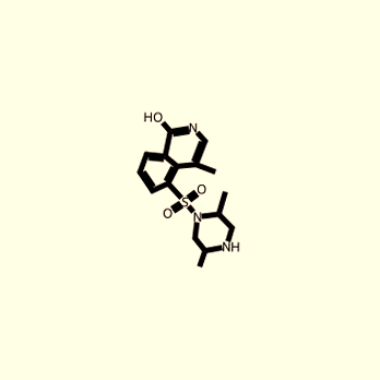 Cc1cnc(O)c2cccc(S(=O)(=O)N3CC(C)NCC3C)c12